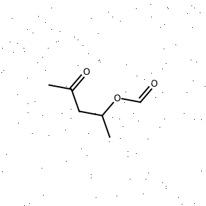 CC(=O)CC(C)OC=O